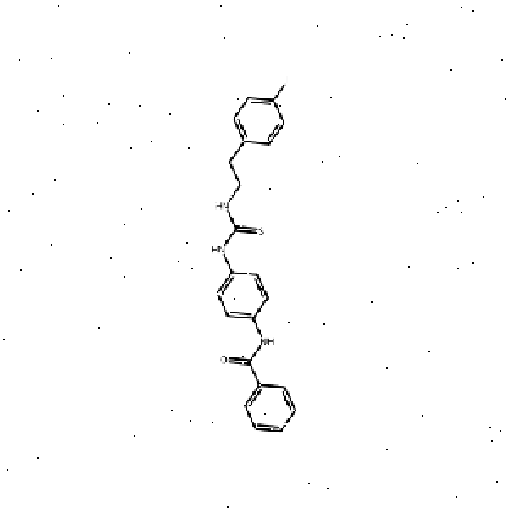 O=C(Nc1ccc(NC(=S)NCCc2ccc(F)cc2)cc1)c1ccccc1